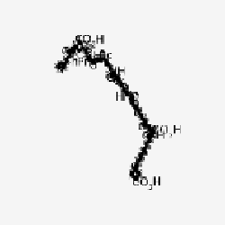 CCC[C@H](NCC(=O)[C@H](CCC(=O)O)CC(=O)C(C)(C)C(=O)CCCC1=CN=CC1)C(=O)CC[C@@H](CCCCNC(=O)COCCOCCNC(=O)COCCOCCCC(=O)CC[C@H](NC(=O)CCCCCCCCCOc1ccc(C(=O)O)cc1)C(=O)O)C(C)=O